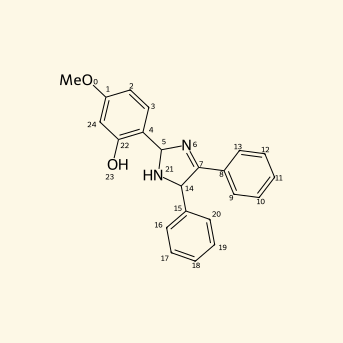 COc1ccc(C2N=C(c3ccccc3)C(c3ccccc3)N2)c(O)c1